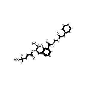 CC(F)(F)CCC(=O)N[C@H]1Cc2cccc(C(=O)OCOC(=O)CC3CCOCC3)c2OB1O